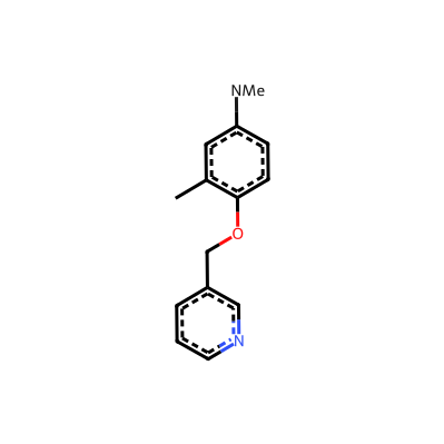 CNc1ccc(OCc2cccnc2)c(C)c1